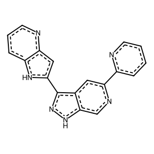 c1ccc(-c2cc3c(-c4cc5ncccc5[nH]4)n[nH]c3cn2)nc1